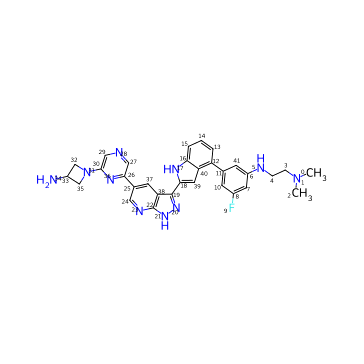 CN(C)CCNc1cc(F)cc(-c2cccc3[nH]c(-c4n[nH]c5ncc(-c6cncc(N7CC(N)C7)n6)cc45)cc23)c1